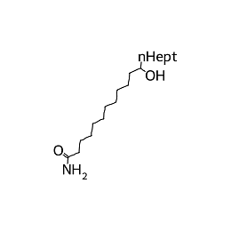 CCCCCCCC(O)CCCCCCCCCCC(N)=O